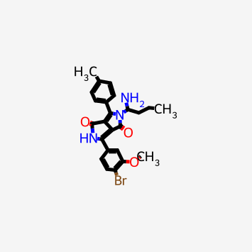 CCCC(N)N1C(=O)C2=C(c3ccc(Br)c(OC)c3)NC(=O)C2=C1c1ccc(C)cc1